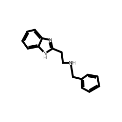 c1ccc(CNCCc2nc3ccccc3[nH]2)cc1